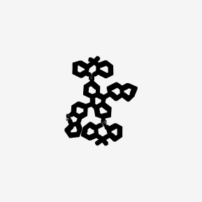 CC1(C)c2ccccc2N(c2ccc3c(-c4ccc5sc6ccccc6c5c4)c4cc(N5c6ccccc6C(C)(C)c6ccccc65)ccc4c(-c4ccc5ccccc5c4)c3c2)c2ccccc21